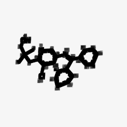 CC(C)(CO)Cc1ncc(N=C(c2ccccc2)c2ccccc2)cc1Cl